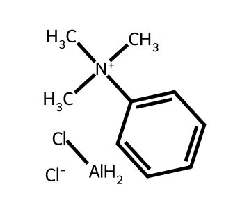 C[N+](C)(C)c1ccccc1.[AlH2][Cl].[Cl-]